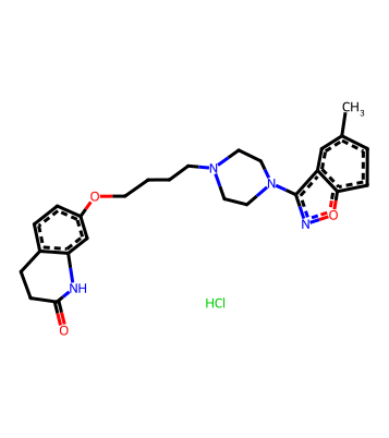 Cc1ccc2onc(N3CCN(CCCCOc4ccc5c(c4)NC(=O)CC5)CC3)c2c1.Cl